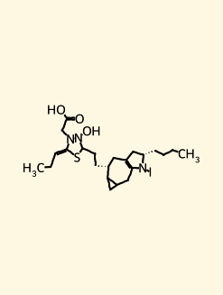 CC/C=C1\SC(CC[C@@H]2CC3=C(CC4CC42)N(I)[C@@H](CCCC)C3)N(O)N1CC(=O)O